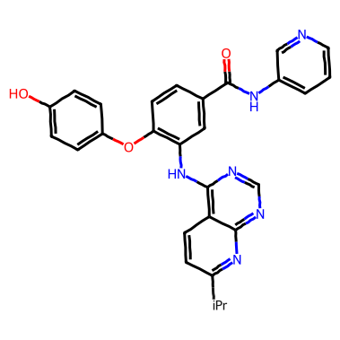 CC(C)c1ccc2c(Nc3cc(C(=O)Nc4cccnc4)ccc3Oc3ccc(O)cc3)ncnc2n1